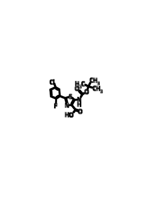 CC(C)(C)OC(=O)Nc1sc(-c2cc(Cl)ccc2F)nc1C(=O)O